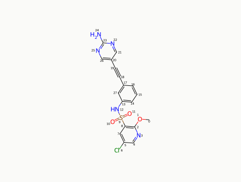 COc1ncc(Cl)cc1S(=O)(=O)Nc1cccc(C#Cc2cnc(N)nc2)c1